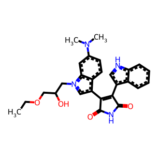 CCOCC(O)Cn1cc(C2=C(c3c[nH]c4ccccc34)C(=O)NC2=O)c2ccc(N(C)C)cc21